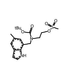 Cc1cc(CN(CCOS(C)(=O)=O)C(=O)OC(C)(C)C)c2[nH]ccc2c1